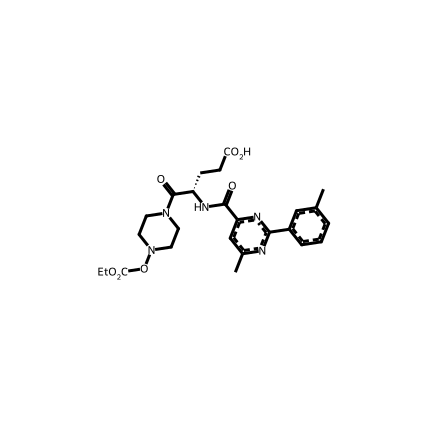 CCOC(=O)ON1CCN(C(=O)[C@H](CCC(=O)O)NC(=O)c2cc(C)nc(-c3cccc(C)c3)n2)CC1